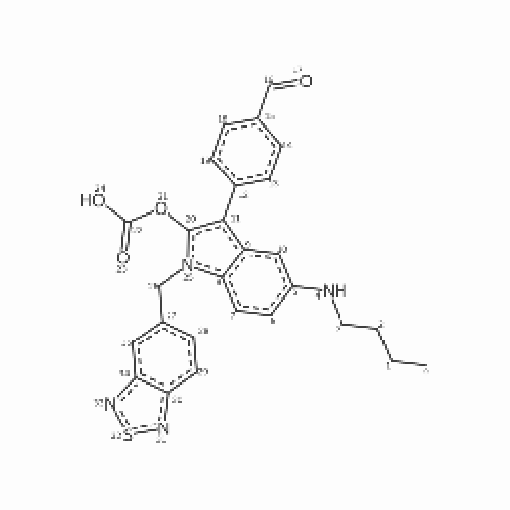 CCCCNc1ccc2c(c1)c(-c1ccc(C=O)cc1)c(OC(=O)O)n2Cc1ccc2nsnc2c1